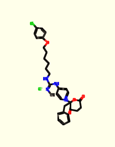 N#CN=C(NCCCCCCOc1ccc(Cl)cc1)Nc1cc[n+](C2(Cc3ccccc3)OC(=O)CCC2=O)cc1.[Cl-]